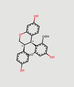 COc1cc(O)cc(OC)c1[C@@H]1c2ccc(O)cc2OC[C@@H]1c1ccc(O)cc1